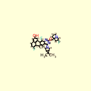 C#Cc1c(F)ccc2cc(O)cc(-c3ccc4c(N5CC6C(C5)C6(C)C)nc(OCC56CCCN5CC(F)C6)nc4c3F)c12